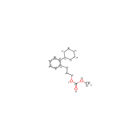 O=C(OCCCc1ccccc1C1CCCCC1)OC(F)(F)F